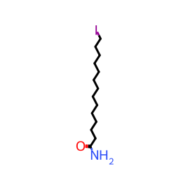 NC(=O)CCCCCCCCCCCCCI